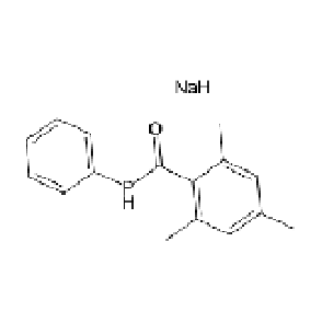 Cc1cc(C)c(C(=O)Pc2ccccc2)c(C)c1.[NaH]